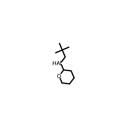 CC(C)(C)[CH2][AlH][CH]1CCCCO1